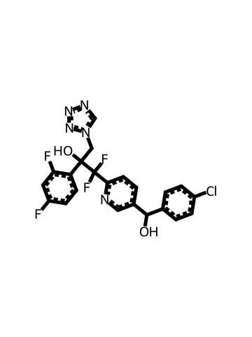 OC(c1ccc(Cl)cc1)c1ccc(C(F)(F)C(O)(Cn2cnnn2)c2ccc(F)cc2F)nc1